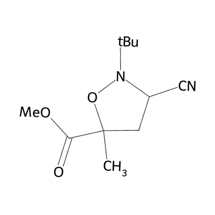 COC(=O)C1(C)CC(C#N)N(C(C)(C)C)O1